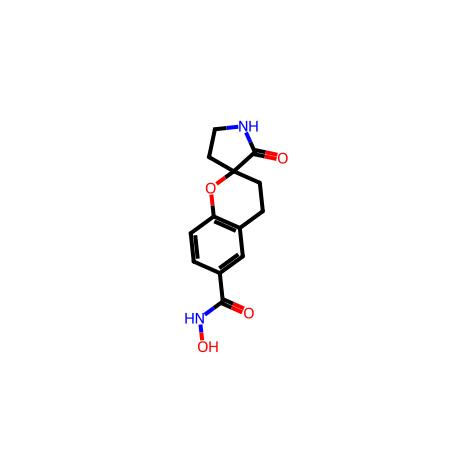 O=C(NO)c1ccc2c(c1)CCC1(CCNC1=O)O2